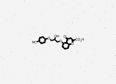 N#Cc1ccc(OCC(O)COc2cccc3oc(C(=O)O)cc(=O)c23)cc1